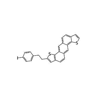 Ic1ccc(CCc2cc3ccc4cc5c(ccc6ccsc65)cc4c3s2)cc1